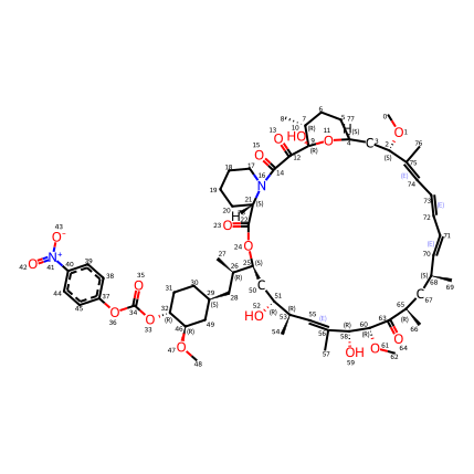 CO[C@H]1C[C@@H]2CC[C@@H](C)[C@@](O)(O2)C(=O)C(=O)N2CCCC[C@H]2C(=O)O[C@H]([C@H](C)C[C@@H]2CC[C@@H](OC(=O)Oc3ccc([N+](=O)[O-])cc3)[C@H](OC)C2)C[C@@H](O)[C@H](C)/C=C(\C)[C@@H](O)[C@@H](OC)C(=O)[C@H](C)C[C@H](C)/C=C/C=C/C=C/1C